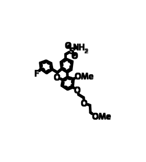 COCCOCCOc1ccc2c(c1OC)-c1ccc(CS(N)(=O)=O)cc1C(c1cccc(F)c1)O2